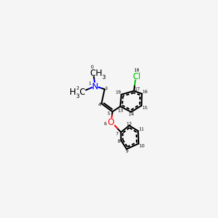 CN(C)CC=C(Oc1ccccc1)c1cccc(Cl)c1